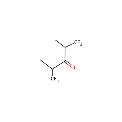 CC(C(=O)C(C)C(F)(F)F)C(F)(F)F